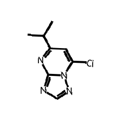 CC(C)c1cc(Cl)n2ncnc2n1